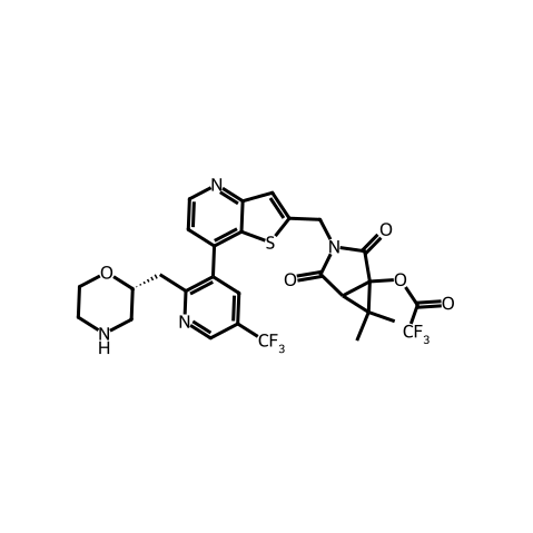 CC1(C)C2C(=O)N(Cc3cc4nccc(-c5cc(C(F)(F)F)cnc5C[C@@H]5CNCCO5)c4s3)C(=O)C21OC(=O)C(F)(F)F